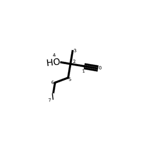 C#CC(C)(O)CCI